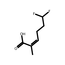 CC(=CCCC(F)F)C(=O)O